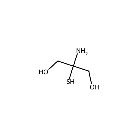 NC(S)(CO)CO